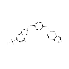 Cc1cc(C(F)(F)F)nc2nc(Nc3ccc(ON4C=Cc5sncc5C4)cc3)nn12